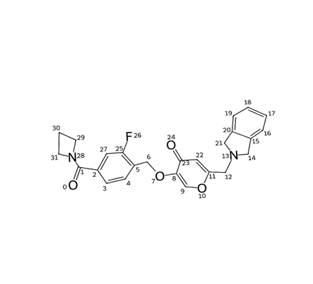 O=C(c1ccc(COc2coc(CN3Cc4ccccc4C3)cc2=O)c(F)c1)N1CCC1